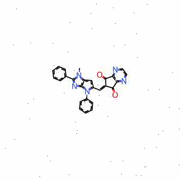 Cn1c(-c2ccccc2)nc2c1cc(C=C1C(=O)c3nccnc3C1=O)n2-c1ccccc1